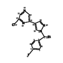 CCC(c1ccc(F)cc1)n1cc(-c2cncc(Cl)n2)cn1